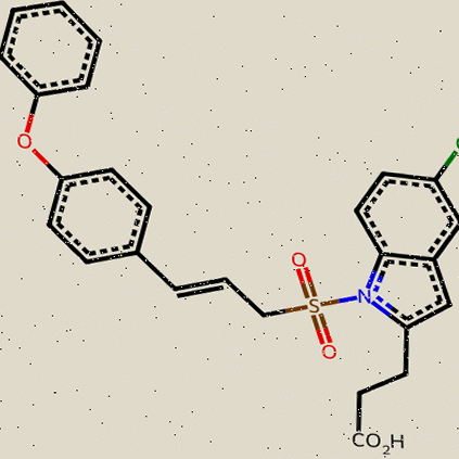 O=C(O)CCc1cc2cc(Cl)ccc2n1S(=O)(=O)CC=Cc1ccc(Oc2ccccc2)cc1